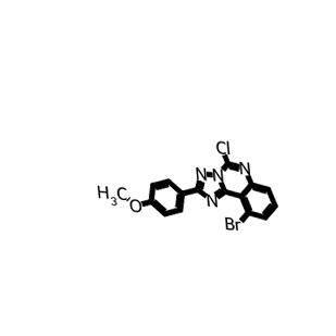 COc1ccc(-c2nc3c4c(Br)cccc4nc(Cl)n3n2)cc1